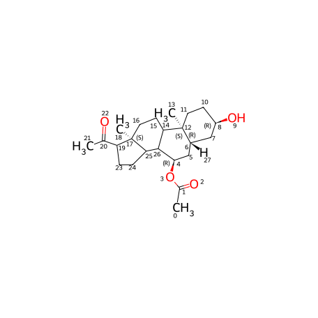 CC(=O)O[C@@H]1C[C@H]2C[C@H](O)CC[C@]2(C)C2CC[C@]3(C)C(C(C)=O)CCC3C21